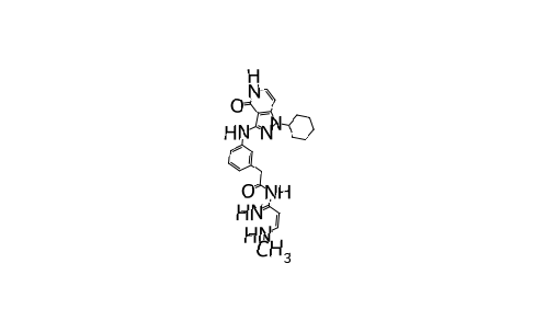 CN/C=C\C(=N)NC(=O)Cc1cccc(Nc2nn(C3CCCCC3)c3cc[nH]c(=O)c23)c1